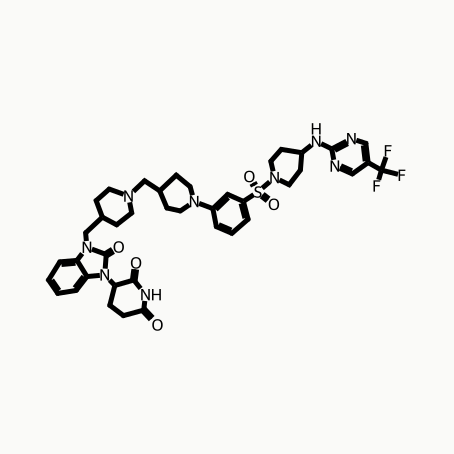 O=C1CCC(n2c(=O)n(CC3CCN(CC4CCN(c5cccc(S(=O)(=O)N6CCC(Nc7ncc(C(F)(F)F)cn7)CC6)c5)CC4)CC3)c3ccccc32)C(=O)N1